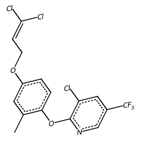 Cc1cc(OCC=C(Cl)Cl)ccc1Oc1ncc(C(F)(F)F)cc1Cl